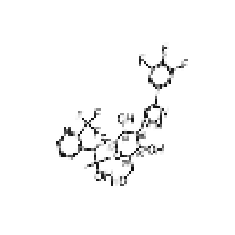 CC(C)(O)C(S[C@@H]1O[C@H](CO)[C@H](O)[C@H](n2cc(-c3cc(F)c(F)c(F)c3)nn2)[C@H]1O)c1cccnc1C(F)(F)F